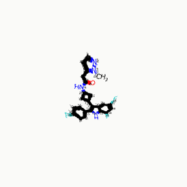 Cn1nccc1CC(=O)NC1CC(c2c(-c3ccc(F)cc3)[nH]c3c(F)cc(F)cc23)C1